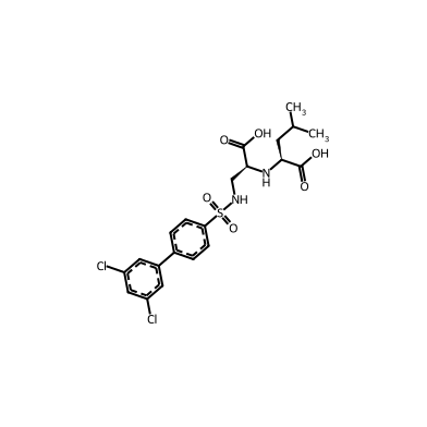 CC(C)C[C@H](N[C@@H](CNS(=O)(=O)c1ccc(-c2cc(Cl)cc(Cl)c2)cc1)C(=O)O)C(=O)O